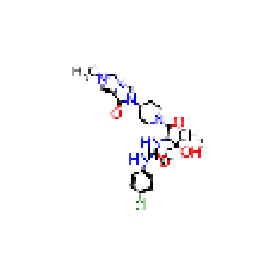 CN1C=C2C(=O)N(C3CCN(C(=O)C(NC(=O)Nc4ccc(Cl)cc4)C(C)(C)O)CC3)CN2C1